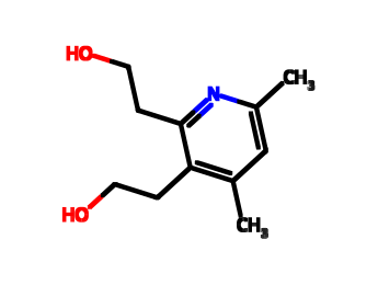 Cc1cc(C)c(CCO)c(CCO)n1